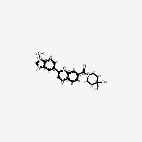 Cn1cnc2cc(-c3cnc4ccc(C(=O)N5CCC(F)(F)CC5)cc4n3)cnc21